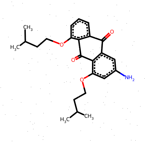 CC(C)CCOc1cccc2c1C(=O)c1c(OCCC(C)C)cc(N)cc1C2=O